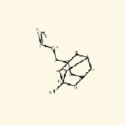 C=COCC12CC3CC(CC(F)(C3)C1)C2